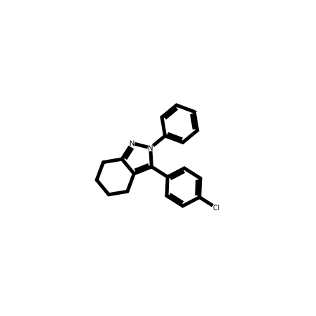 Clc1ccc(-c2c3c(nn2-c2cc[c]cc2)CCCC3)cc1